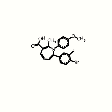 COc1ccc(N2C(c3ccc(Br)c(I)c3)=CC=CC(C(=O)O)=C2C)cc1